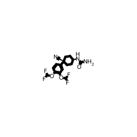 N#C[C@]1(c2ccc(OC(F)F)c(OC(F)F)c2)CC[C@H](NC(N)=O)CC1